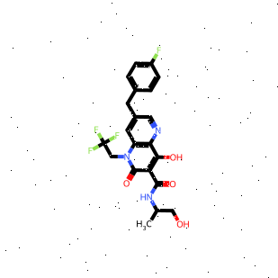 CC(CO)NC(=O)c1c(O)c2ncc(Cc3ccc(F)cc3)cc2n(CC(F)(F)F)c1=O